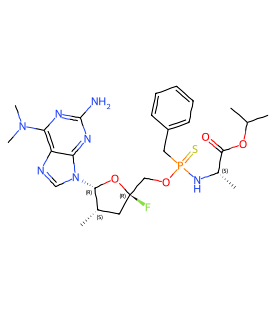 CC(C)OC(=O)[C@H](C)NP(=S)(Cc1ccccc1)OC[C@]1(F)C[C@H](C)[C@H](n2cnc3c(N(C)C)nc(N)nc32)O1